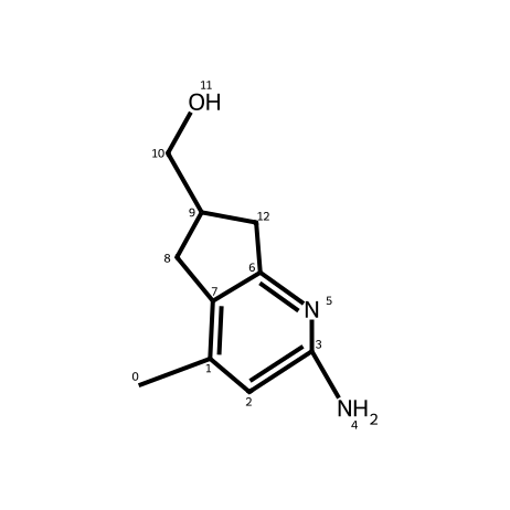 Cc1cc(N)nc2c1CC(CO)C2